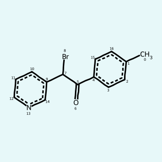 Cc1ccc(C(=O)C(Br)c2cccnc2)cc1